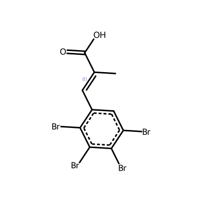 C/C(=C\c1cc(Br)c(Br)c(Br)c1Br)C(=O)O